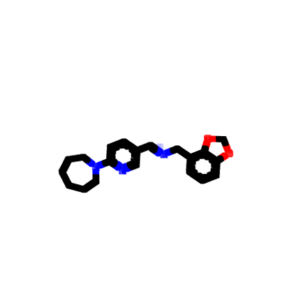 C(=N\Cc1cccc2c1OCO2)/c1ccc(N2CCCCCC2)nc1